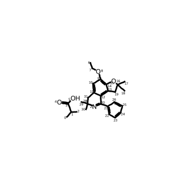 CC(C)C(=O)O.CCOc1cc2c(c3c1OC(C)(C)C3)C(c1ccccc1)=NC(C)(C)C2